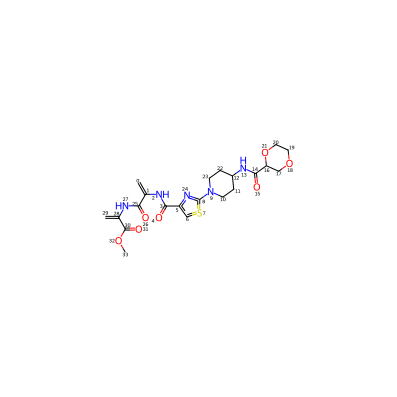 C=C(NC(=O)c1csc(N2CCC(NC(=O)C3COCCO3)CC2)n1)C(=O)NC(=C)C(=O)OC